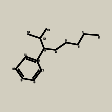 CCCCCC(c1[c]cccc1)C(C)C